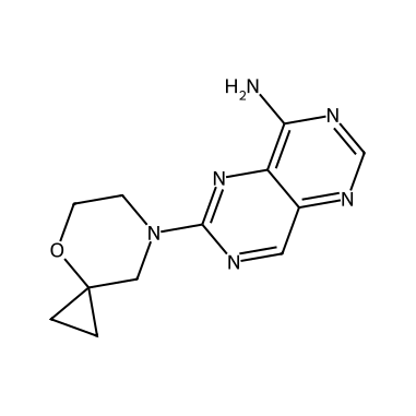 Nc1ncnc2cnc(N3CCOC4(CC4)C3)nc12